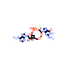 Nc1nc2c(ncn2[C@@H]2OCOCC34C[C@@]5(COP(O)(=S)O[C@@H]2CF)O[C@@H](n2cnc6c(N)ncnc62)[C@H](O3)[C@H]45)c(=O)[nH]1